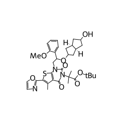 COc1ccccc1C(Cn1c(=O)n(C(C)(C)C(=O)OC(C)(C)C)c(=O)c2c(C)c(-c3ncco3)sc21)OC1C[C@H]2CC(O)C[C@H]2C1